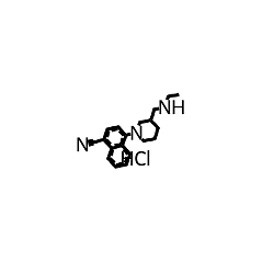 CCNCC1CCCN(c2ccc(C#N)c3ccccc23)C1.Cl